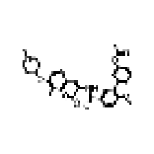 COc1ccc(C(=O)Nc2cc3ccc(OC4CCN(C)CC4)c(C)c3oc2=O)cc1-c1cccc(OC(C)=O)c1